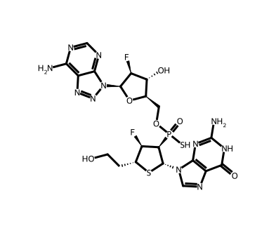 Nc1nc2c(ncn2[C@@H]2S[C@H](CCO)[C@@H](F)[C@H]2P(=O)(S)OC[C@H]2O[C@@H](n3nnc4c(N)ncnc43)[C@@H](F)[C@@H]2O)c(=O)[nH]1